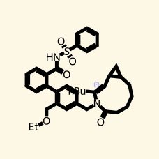 CCCC/C1=C\C2CC2CCCCC(=O)N1Cc1ccc(-c2ccccc2C(=O)NS(=O)(=O)c2ccccc2)c(COCC)c1